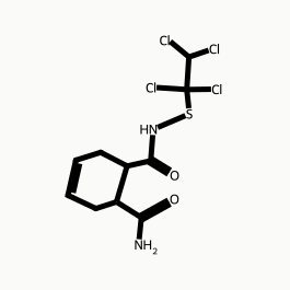 NC(=O)C1CC=CCC1C(=O)NSC(Cl)(Cl)C(Cl)Cl